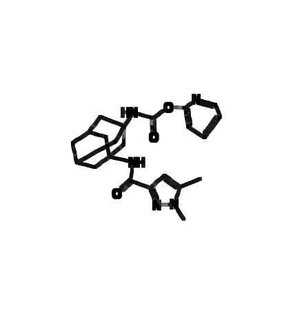 Cc1cc(C(=O)NC23CC4CC(CC(NC(=O)Oc5ccccn5)(C4)C2)C3)nn1C